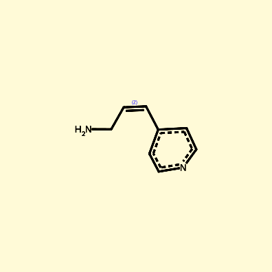 NC/C=C\c1ccncc1